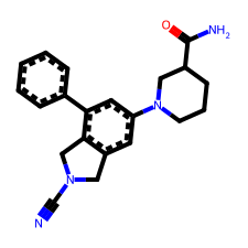 N#CN1Cc2cc(N3CCCC(C(N)=O)C3)cc(-c3ccccc3)c2C1